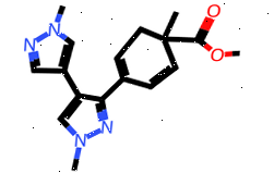 COC(=O)C1(C)C=CC(c2nn(C)cc2-c2cnn(C)c2)=CC1